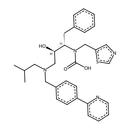 CC(C)CN(Cc1ccc(-c2ccccn2)cc1)C[C@@H](O)[C@H](Cc1ccccc1)N(Cc1cncs1)C(=O)O